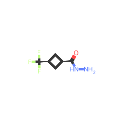 NNC(=O)[C@H]1C[C@@H](C(F)(F)F)C1